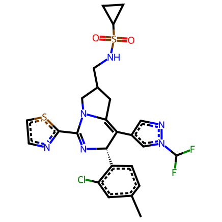 Cc1ccc([C@@H]2N=C(c3nccs3)N3CC(CNS(=O)(=O)C4CC4)CC3=C2c2cnn(C(F)F)c2)c(Cl)c1